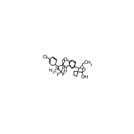 CCOC(c1ccc(Cl)c(NC(=O)[C@H](C2C=CC(Cl)=CC2)[C@@H](C)C(F)(F)F)c1)C1(C(=O)O)CCC1